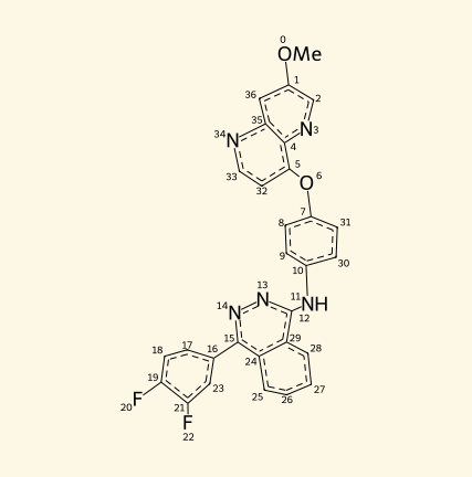 COc1cnc2c(Oc3ccc(Nc4nnc(-c5ccc(F)c(F)c5)c5ccccc45)cc3)ccnc2c1